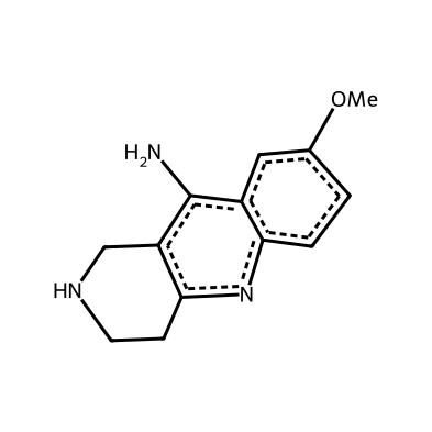 COc1ccc2nc3c(c(N)c2c1)CNCC3